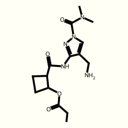 CCC(=O)OC1CCC1C(=O)Nc1nn(C(=O)N(C)C)cc1CN